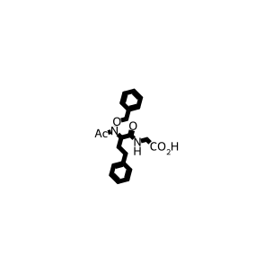 CC(=O)N(OCc1ccccc1)C(CCc1ccccc1)C(=O)NCC(=O)O